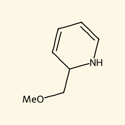 COCC1C=CC=CN1